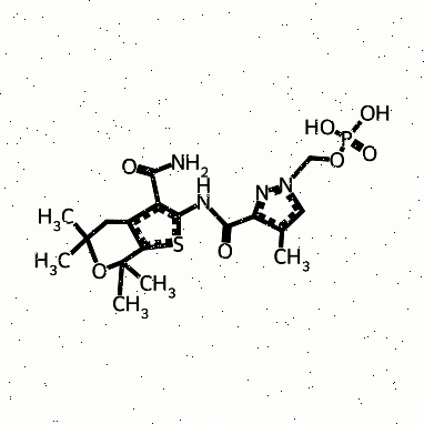 Cc1cn(COP(=O)(O)O)nc1C(=O)Nc1sc2c(c1C(N)=O)CC(C)(C)OC2(C)C